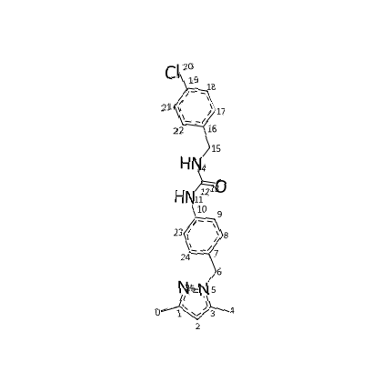 Cc1cc(C)n(Cc2ccc(NC(=O)NCc3ccc(Cl)cc3)cc2)n1